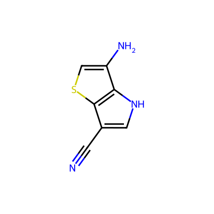 N#Cc1c[nH]c2c(N)csc12